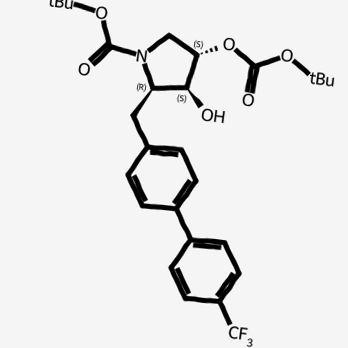 CC(C)(C)OC(=O)O[C@H]1CN(C(=O)OC(C)(C)C)[C@H](Cc2ccc(-c3ccc(C(F)(F)F)cc3)cc2)[C@@H]1O